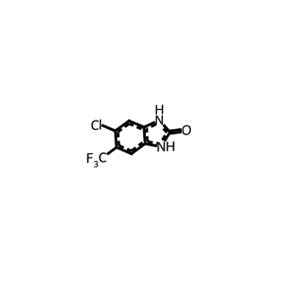 O=c1[nH]c2cc(Cl)c(C(F)(F)F)cc2[nH]1